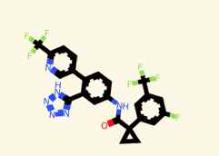 O=C(Nc1ccc(-c2ccc(C(F)(F)F)nc2)c(-c2nnn[nH]2)c1)C1(c2cc(F)cc(C(F)(F)F)c2)CC1